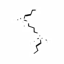 CCO[Si](/C=C/CCl)(OCC)OCCCO[Si](/C=C/CCl)(OCC)OCC